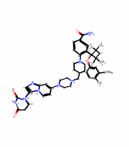 COc1cc(OC2(c3cc(C(N)=O)ccc3N3CCC(CN4CCN(c5ccn6c(N7CCC(=O)NC7=O)cnc6c5)CC4)CC3)C(C)(C)CC2(C)C)ccc1C#N